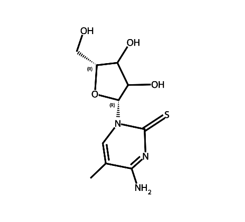 Cc1cn([C@@H]2O[C@H](CO)C(O)C2O)c(=S)nc1N